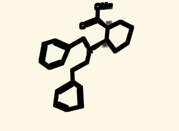 COC(=O)[C@H]1CCCC[C@H]1N(CCc1ccccc1)Cc1ccccc1